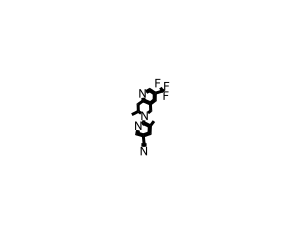 Cc1cc(C#N)cnc1N1Cc2cc(C(F)(F)F)cnc2CC1C